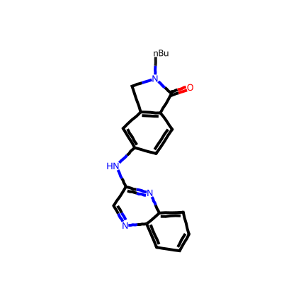 CCCCN1Cc2cc(Nc3cnc4ccccc4n3)ccc2C1=O